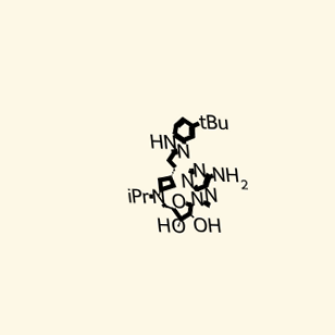 CC(C)N(C[C@H]1OC(n2cnc3c(N)ncnc32)[C@H](O)[C@@H]1O)[C@H]1C[C@@H](CCc2nc3cc(C(C)(C)C)ccc3[nH]2)C1